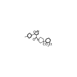 CCOC(=O)C1(c2ccccc2)CCN(C(=O)c2cnoc2-c2ccc(C)cc2)CC1